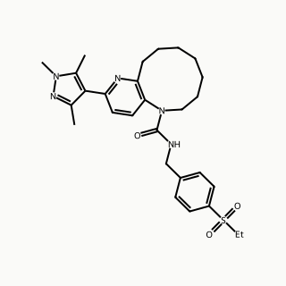 CCS(=O)(=O)c1ccc(CNC(=O)N2CCCCCCCc3nc(-c4c(C)nn(C)c4C)ccc32)cc1